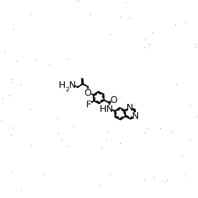 C=C(CN)COc1ccc(C(=O)Nc2ccc3cncnc3c2)cc1F